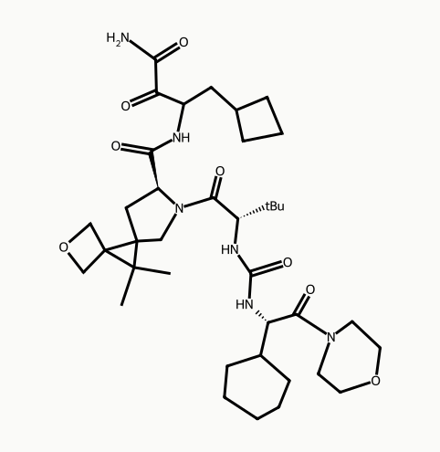 CC(C)(C)[C@H](NC(=O)N[C@H](C(=O)N1CCOCC1)C1CCCCC1)C(=O)N1CC2(C[C@H]1C(=O)NC(CC1CCC1)C(=O)C(N)=O)C(C)(C)C21COC1